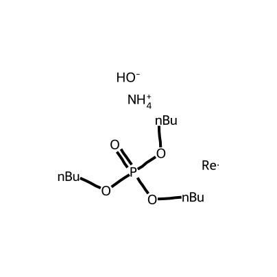 CCCCOP(=O)(OCCCC)OCCCC.[NH4+].[OH-].[Re]